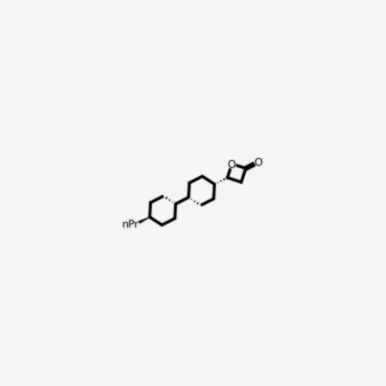 CCC[C@H]1CC[C@H]([C@H]2CC[C@@H](C3CC(=O)O3)CC2)CC1